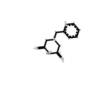 O=C1CN(Cc2ccccn2)CC(=O)N1